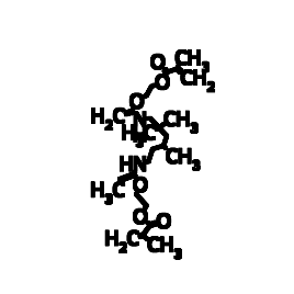 C=C(NCC(C)(C)CC(C)CCNC(=CC)OCCOC(=O)C(=C)C)OCCOC(=O)C(=C)C